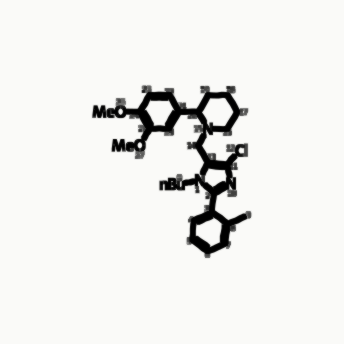 CCCCn1c(-c2ccccc2C)nc(Cl)c1CN1CCCCC1c1ccc(OC)c(OC)c1